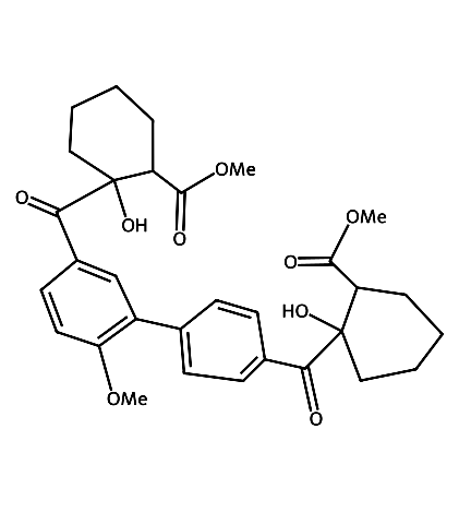 COC(=O)C1CCCCC1(O)C(=O)c1ccc(-c2cc(C(=O)C3(O)CCCCC3C(=O)OC)ccc2OC)cc1